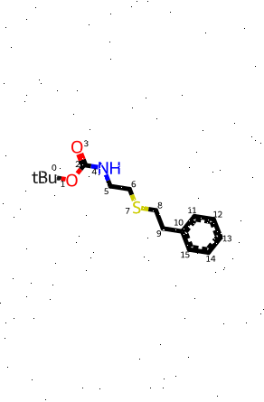 CC(C)(C)OC(=O)NCCSCCc1ccccc1